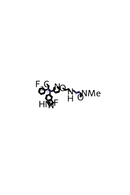 CNC(=O)/C=C/CNCCOc1ccc(/C(=C(\CC(F)(F)F)c2ccccc2)c2ccc3[nH]nc(F)c3c2)cn1